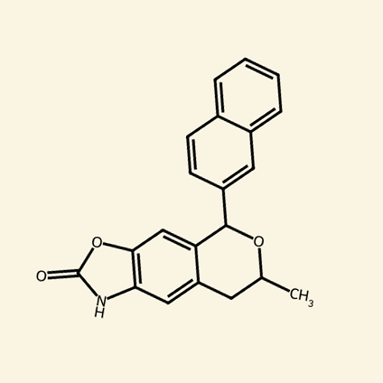 CC1Cc2cc3[nH]c(=O)oc3cc2C(c2ccc3ccccc3c2)O1